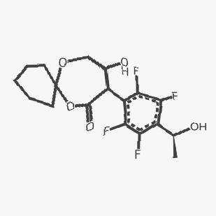 C[C@H](O)c1c(F)c(F)c(C2C(=O)OC3(CCCCC3)OCC2O)c(F)c1F